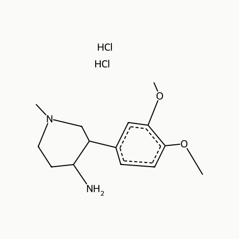 COc1ccc(C2CN(C)CCC2N)cc1OC.Cl.Cl